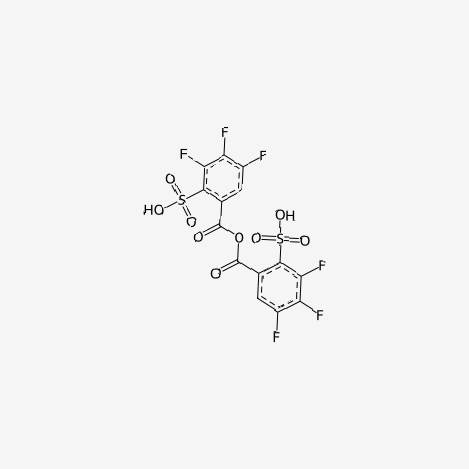 O=C(OC(=O)c1cc(F)c(F)c(F)c1S(=O)(=O)O)c1cc(F)c(F)c(F)c1S(=O)(=O)O